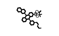 C=C1OB(c2ccc3c(-c4ccc5ccccc5c4)c4ccccc4c(-c4cccc(/C=C\C=C/C)c4)c3c2)OC1(C)C